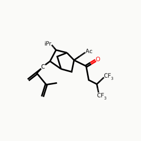 C=C(C)C(=C)CC1C2CC(C1C(C)C)C(C(C)=O)(C(=O)CC(C(F)(F)F)C(F)(F)F)C2